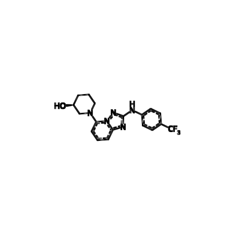 O[C@H]1CCCN(c2cccc3nc(Nc4ccc(C(F)(F)F)cc4)nn23)C1